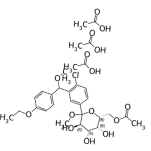 CC(=O)O.CC(=O)O.CC(=O)O.CCOc1ccc(C(OC)c2cc(C3(OC)O[C@H](COC(C)=O)[C@H](O)[C@H](O)[C@H]3O)ccc2Cl)cc1